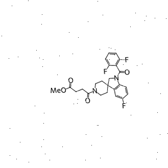 COC(=O)CCC(=O)N1CCC2(CC1)CN(C(=O)c1c(F)cccc1F)c1ccc(F)cc12